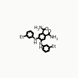 CCc1cccc(Nc2cc(C(N)=O)c(C(N)=O)cc2Nc2cccc(CC)c2)c1